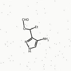 CCC(OC=O)c1n[nH]cc1N